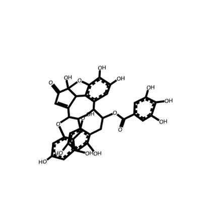 O=C(OC1Cc2c(O)cc(O)cc2OC1c1cc(O)c(O)c2c1C1C(C3Oc4cc(O)cc(O)c4CC3O)=CC(=O)C1(O)O2)c1cc(O)c(O)c(O)c1